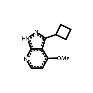 COc1ccnc2[nH]nc(C3CCC3)c12